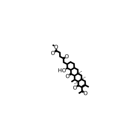 COC(=O)CCC(=O)CC1CCC2C[C@@]3(C)C[C@@]4(C)CC(C)=C(C(C)=O)C(=O)[C@@]4(C)C(C)C3C(=O)C2C1O